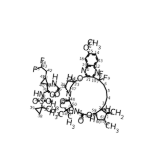 C=C1[C@H]2CCCCC(F)(F)c3nc4ccc(OC)cc4nc3O[C@@H]3C[C@@H](C(=O)N[C@]4(C(=O)NS(=O)(=O)C5(C)CC5)C[C@H]4CC(F)F)N(C3)C(=O)[C@H](C(C)(C)C)NC(=O)O[C@@H]2C[C@@H]1C